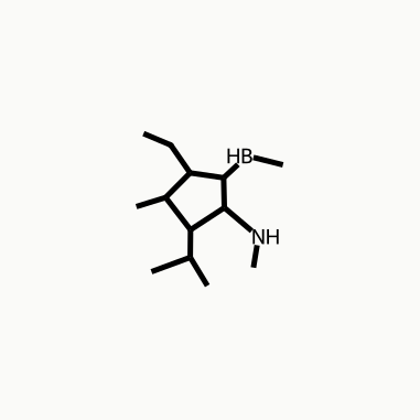 CBC1C(CC)C(C)C(C(C)C)C1NC